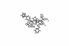 COC(=O)[C@@]1(Cc2cccc(-c3ncco3)c2)COC(C2CCCN2C(=O)[C@@H](NC(=O)C(C)N)[C@@H](C)OCc2ccccc2)=N1